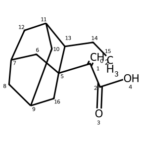 C=C(C(=O)O)C12CC3CC(CC(C3)C1CC)C2